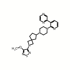 COc1nsnc1N1CC2(CCC(N3CCN(c4ncccc4-c4cnccn4)CC3)C2)C1